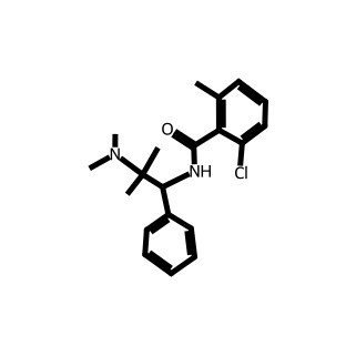 Cc1cccc(Cl)c1C(=O)NC(c1ccccc1)C(C)(C)N(C)C